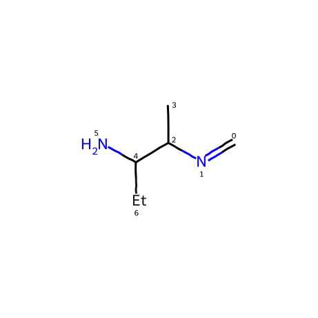 C=NC(C)C(N)CC